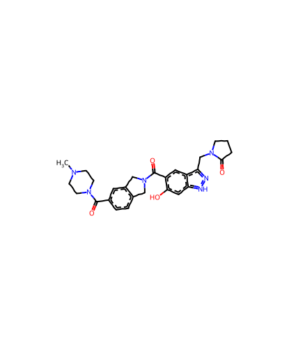 CN1CCN(C(=O)c2ccc3c(c2)CN(C(=O)c2cc4c(CN5CCCC5=O)n[nH]c4cc2O)C3)CC1